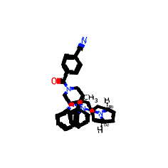 Cc1nc2ccccc2n1[C@H]1C[C@H]2CC[C@@H](C1)N2CCC1(c2ccccc2)CCN(C(=O)c2ccc(C#N)cc2)CC1